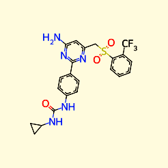 Nc1cc(CS(=O)(=O)c2ccccc2C(F)(F)F)nc(-c2ccc(NC(=O)NC3CC3)cc2)n1